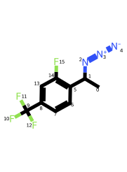 CC(N=[N+]=[N-])c1ccc(C(F)(F)F)cc1F